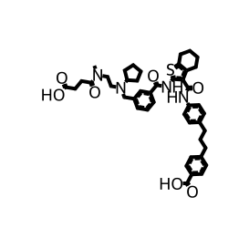 CN(CCN(Cc1cccc(C(=O)Nc2sc3c(c2C(=O)Nc2ccc(CCCc4ccc(C(=O)O)cc4)cc2)CCCC3)c1)C1CCCC1)C(=O)CCC(=O)O